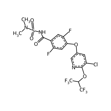 CN(C)S(=O)(=O)NC(=O)c1cc(F)c(Oc2cnc(OC(C(F)(F)F)C(F)(F)F)c(Cl)c2)cc1F